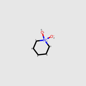 [O][N+]1([O-])CCCCC1